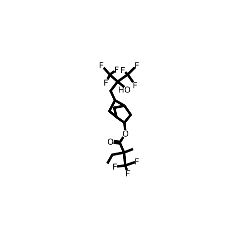 CCC(C)(C(=O)OC1CC2CC1CC2CC(O)(C(F)(F)F)C(F)(F)F)C(F)(F)F